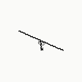 CCCCCCCCCCCCCCCCCCC(CCCCCCCCCCCCCCCCCC)OC(=O)CCCN(C)C